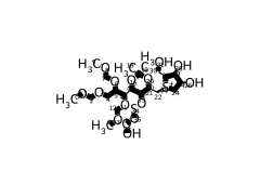 COCOCC(OCOC)C(OCOC)[C@@H]1OC(C)(C)O[C@H](C[S@+]2C[C@@H](O)[C@H](O)[C@H]2CO)C1OSOOO